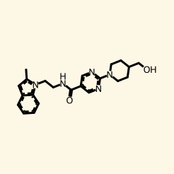 Cc1cc2ccccc2n1CCNC(=O)c1cnc(N2CCC(CO)CC2)nc1